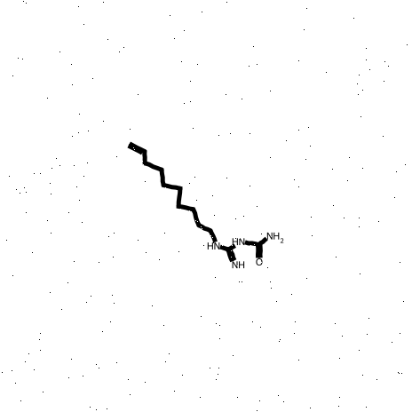 C=CCCCCCCCCNC(=N)NC(N)=O